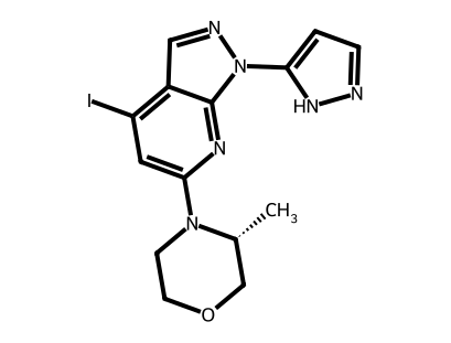 C[C@@H]1COCCN1c1cc(I)c2cnn(-c3ccn[nH]3)c2n1